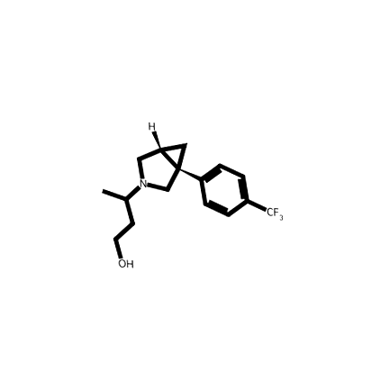 CC(CCO)N1C[C@@H]2C[C@]2(c2ccc(C(F)(F)F)cc2)C1